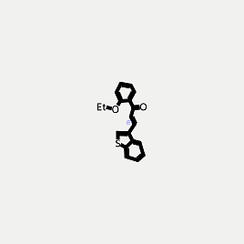 CCOc1ccccc1C(=O)/C=C/c1csc2ccccc12